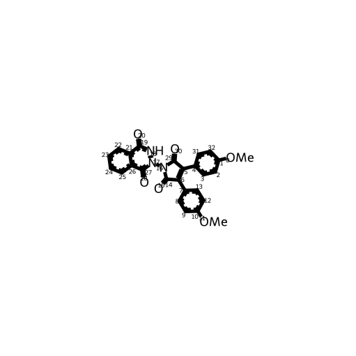 COc1ccc(C2=C(c3ccc(OC)cc3)C(=O)N(n3[nH]c(=O)c4ccccc4c3=O)C2=O)cc1